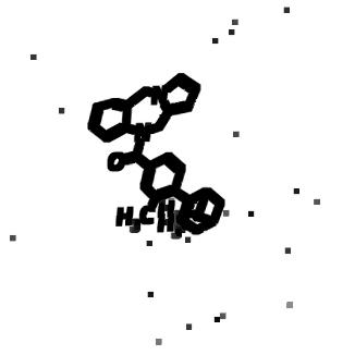 Cc1cc(C(=O)N2Cc3cccn3Cc3ccccc32)ccc1C1=CCC2CC1C2(C)C